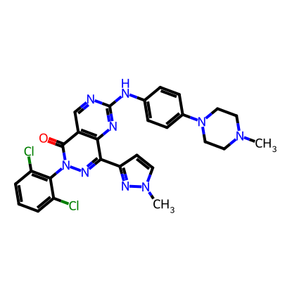 CN1CCN(c2ccc(Nc3ncc4c(=O)n(-c5c(Cl)cccc5Cl)nc(-c5ccn(C)n5)c4n3)cc2)CC1